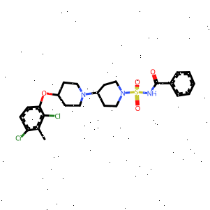 Cc1c(Cl)ccc(OC2CCN(C3CCN(S(=O)(=O)NC(=O)c4ccccc4)CC3)CC2)c1Cl